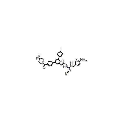 N#C/N=C(/NCc1ccc(N)nc1)NCc1cc2cc(-c3ccc(C(=O)N4CCC(F)(F)CC4)cc3)cc(-c3ccc(F)cc3)c2o1